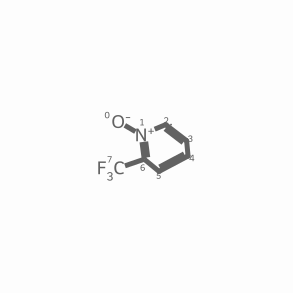 [O-][n+]1[c]cccc1C(F)(F)F